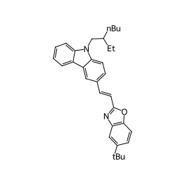 CCCCC(CC)Cn1c2ccccc2c2cc(/C=C/c3nc4cc(C(C)(C)C)ccc4o3)ccc21